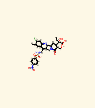 CC[C@@]1(O)C(=O)OCc2c1cc1n(c2=O)Cc2c-1nc1cc(F)c(C)cc1c2CNS(=O)(=O)c1ccc([N+](=O)[O-])cc1